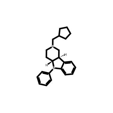 c1ccc(N2c3ccccc3[C@@H]3CN(CC4CCCC4)CC[C@H]32)cc1